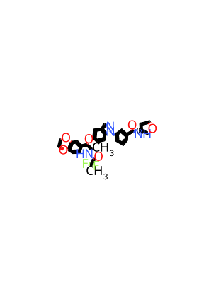 CC(NC(=O)C(C)(F)F)C(Oc1ccc2c(cnn2-c2cccc(C(=O)N[C@@H]3CCOC3)c2)c1)c1ccc2c(c1)OCCO2